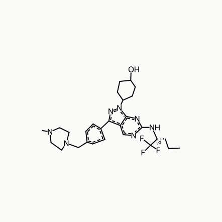 CCC[C@@H](Nc1ncc2c(-c3ccc(CN4CCN(C)CC4)cc3)nn(C3CCC(O)CC3)c2n1)C(F)(F)F